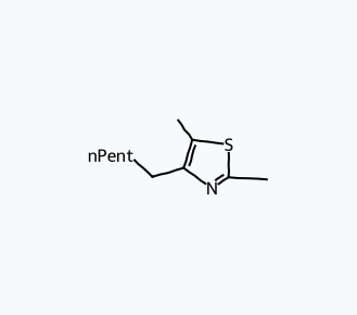 [CH2]CCCCCc1nc(C)sc1C